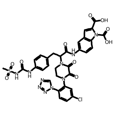 CS(=O)(=O)NC(=O)Nc1ccc(CC(C(=O)Nc2ccc3c(c2)cc(C(=O)O)n3C(=O)O)N2CCN(c3cc(Cl)ccc3-n3cnnn3)C(=O)C2=O)cc1